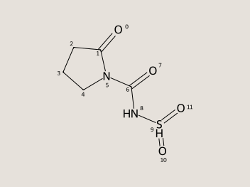 O=C1CCCN1C(=O)N[SH](=O)=O